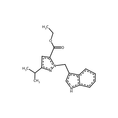 CCOC(=O)c1cc(C(C)C)nn1Cc1c[nH]c2ccccc12